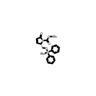 CC(C)(C)OC(=O)N1C(=O)C=C[C@H]1CO[Si](c1ccccc1)(c1ccccc1)C(C)(C)C